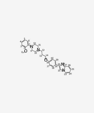 COc1ccccc1N1CCN(CCCOc2ccc(-c3cn4ccccc4n3)cc2)CC1